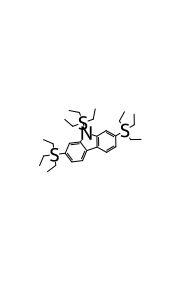 CCS(CC)(CC)c1ccc2c3ccc(S(CC)(CC)CC)cc3n(S(CC)(CC)CC)c2c1